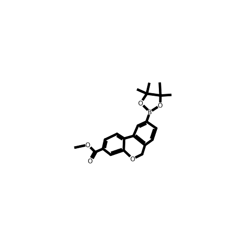 COC(=O)c1ccc2c(c1)OCc1ccc(B3OC(C)(C)C(C)(C)O3)cc1-2